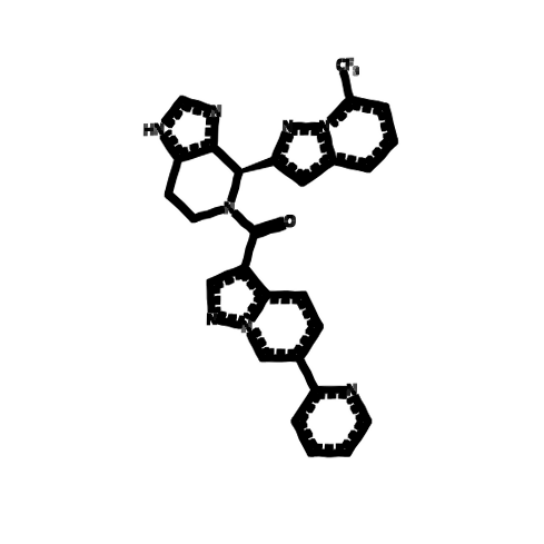 O=C(c1cnn2cc(-c3ccccn3)ccc12)N1CCc2[nH]cnc2[C@H]1c1cc2cccc(C(F)(F)F)n2n1